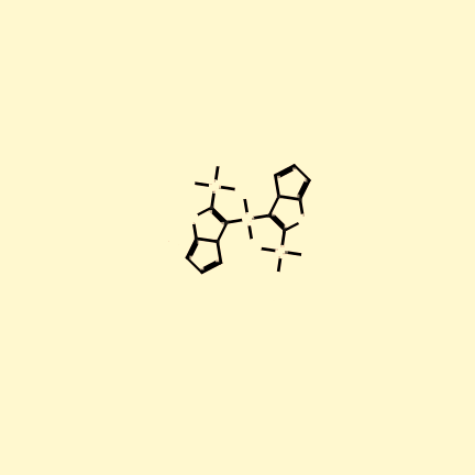 C[Si](C)(C)C1=C([Si](C)(C)C2=C([Si](C)(C)C)SC3=CC=CC32)C2C=CC=C2S1.[Cl-].[Cl-].[Zr+2]